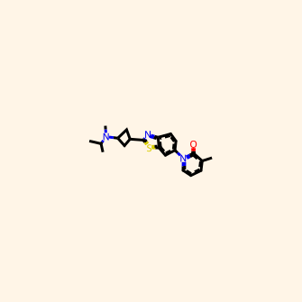 Cc1cccn(-c2ccc3nc(C4CC(N(C)C(C)C)C4)sc3c2)c1=O